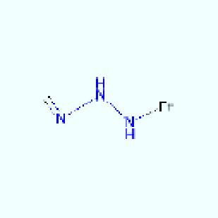 C=NNNCC